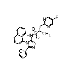 CC(Cc1ncc(F)cn1)S(=O)(=O)Nc1nnc(-c2ccco2)n1-c1cccc2ccccc12